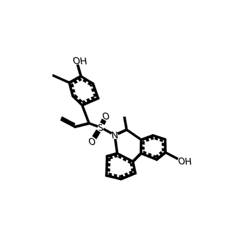 C=CC(c1ccc(O)c(C)c1)S(=O)(=O)N1c2ccccc2-c2cc(O)ccc2C1C